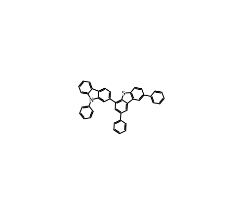 c1ccc(-c2ccc3sc4c(-c5ccc6c7ccccc7n(-c7ccccc7)c6c5)cc(-c5ccccc5)cc4c3c2)cc1